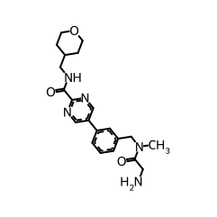 CN(Cc1cccc(-c2cnc(C(=O)NCC3CCOCC3)nc2)c1)C(=O)CN